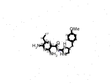 COc1ccc(C[C@H]2CN/C(=N/C(=O)c3nc(CI)c(N)nc3N)N2)cc1